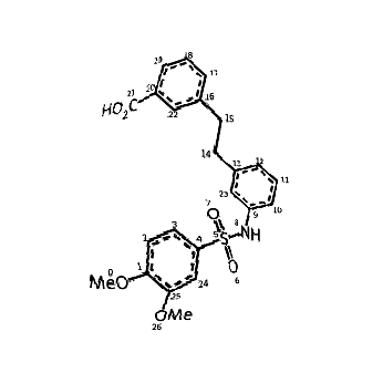 COc1ccc(S(=O)(=O)Nc2cccc(CCc3cccc(C(=O)O)c3)c2)cc1OC